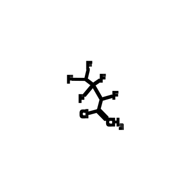 C=C(Cl)C(F)C(F)(F)C(F)F